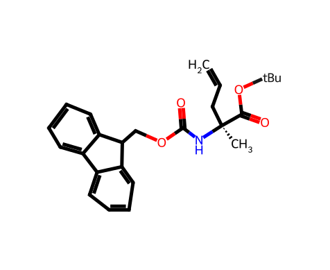 C=CC[C@](C)(NC(=O)OCC1c2ccccc2-c2ccccc21)C(=O)OC(C)(C)C